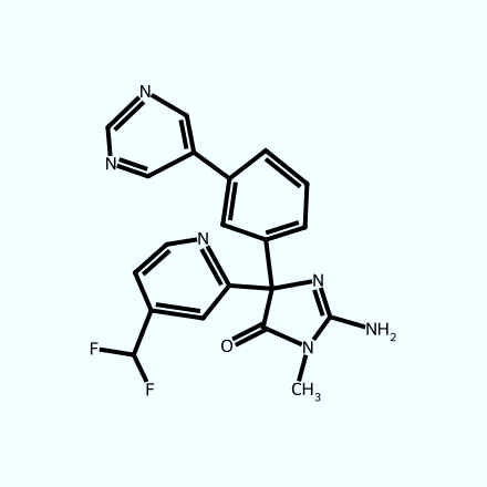 CN1C(=O)C(c2cccc(-c3cncnc3)c2)(c2cc(C(F)F)ccn2)N=C1N